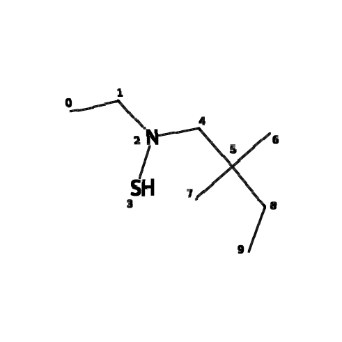 CCN(S)CC(C)(C)CC